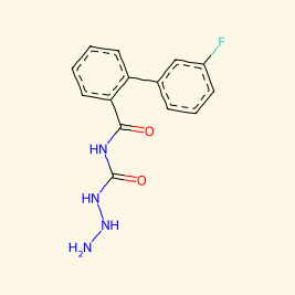 NNNC(=O)NC(=O)c1ccccc1-c1cccc(F)c1